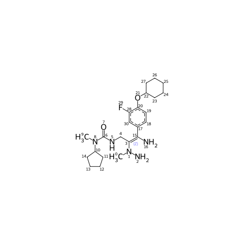 CN(N)/C(CNC(=O)N(C)C1CCCC1)=C(\N)c1ccc(OC2CCCCC2)c(F)c1